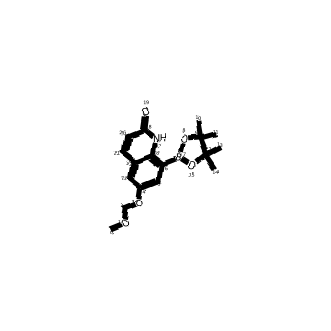 COCOc1cc(B2OC(C)(C)C(C)(C)O2)c2[nH]c(=O)ccc2c1